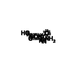 Nc1ncnc2c1c(-c1ccccc1)cn2-c1ccc([S+]([O-])CCO)cc1